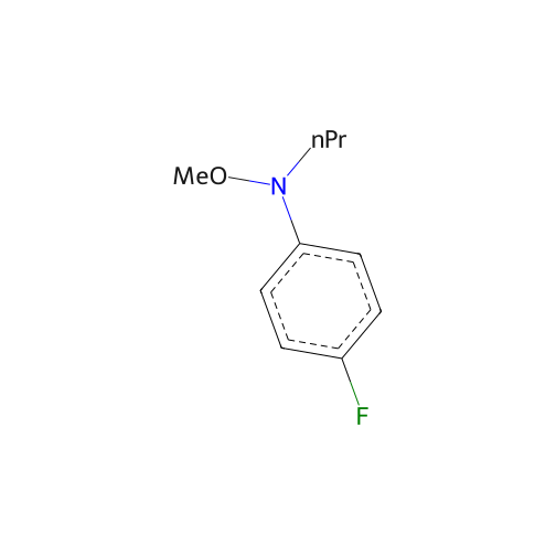 CCCN(OC)c1ccc(F)cc1